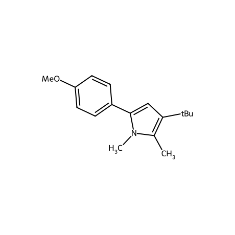 COc1ccc(-c2cc(C(C)(C)C)c(C)n2C)cc1